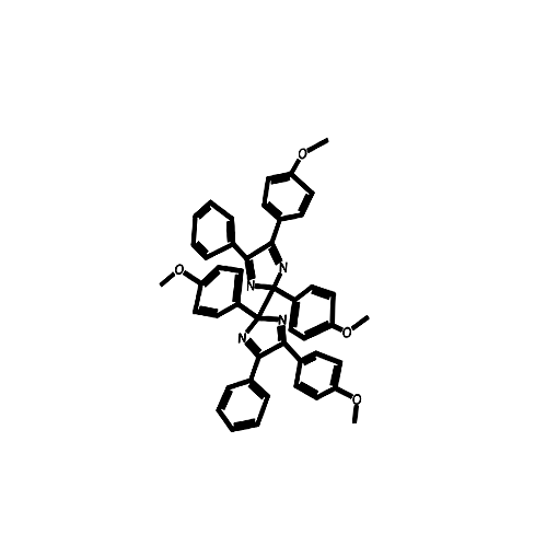 COc1ccc(C2=NC(c3ccc(OC)cc3)(C3(c4ccc(OC)cc4)N=C(c4ccccc4)C(c4ccc(OC)cc4)=N3)N=C2c2ccccc2)cc1